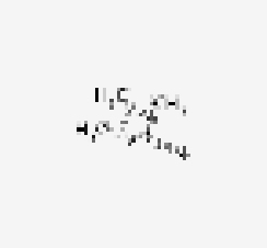 Cc1cc(C#N)n(C)c1C